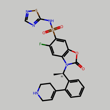 C[C@H](c1ccccc1C1=CCNCC1)n1c(=O)oc2cc(S(=O)(=O)Nc3ncns3)c(F)cc21